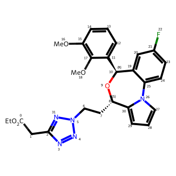 CCOC(=O)Cc1nnn(CC[C@@H]2O[C@@H](c3cccc(OC)c3OC)c3cc(F)ccc3-n3cccc32)n1